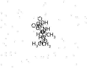 CC(C)CCN(C(O)(CCNC(=O)CC(C)(C)CNC(=O)CN(C)C)Cc1ccccc1)S(=O)(=O)c1ccccc1